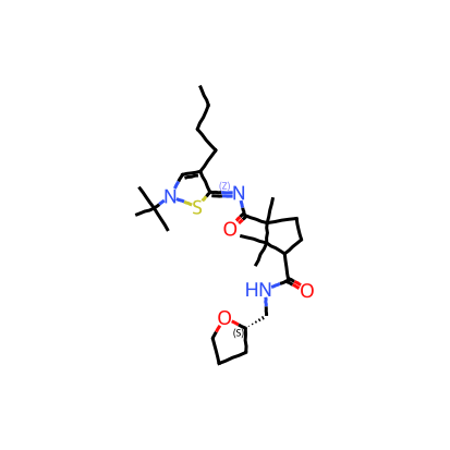 CCCCc1cn(C(C)(C)C)s/c1=N\C(=O)C1(C)CCC(C(=O)NC[C@@H]2CCCO2)C1(C)C